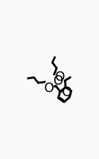 CCCCOC(OCCCC)C12C=CC(CC1C(C)=O)O2